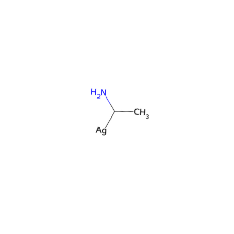 C[CH](N)[Ag]